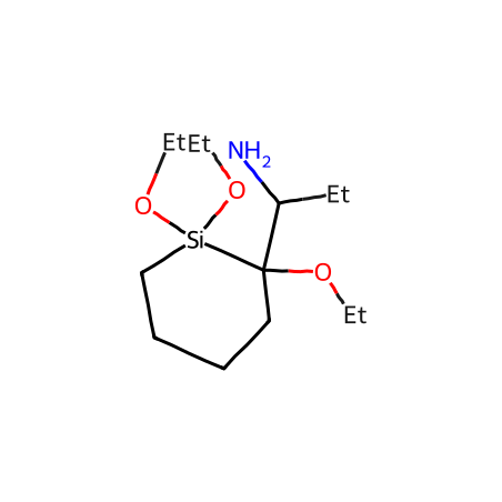 CCOC1(C(N)CC)CCCC[Si]1(OCC)OCC